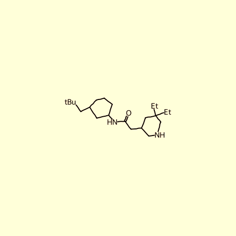 CCC1(CC)CNCC(CC(=O)NC2CCCC(CC(C)(C)C)C2)C1